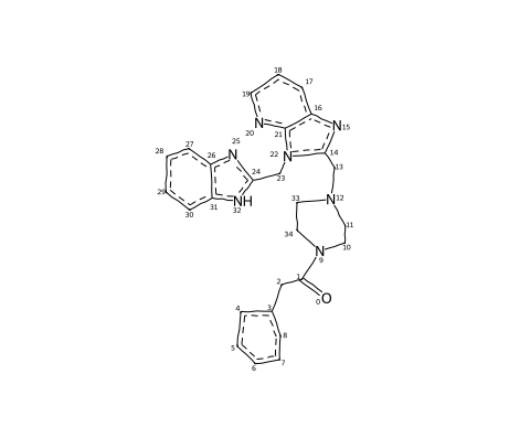 O=C(Cc1ccccc1)N1CCN(Cc2nc3cccnc3n2Cc2nc3ccccc3[nH]2)CC1